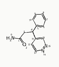 NC(=O)CC(c1ccccc1)c1ccnnc1